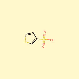 O=S(=O)(O)c1c[c]sc1